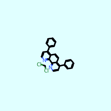 ClCCl.c1ccc(-c2ccnc3c2ccc2c(-c4ccccc4)ccnc23)cc1